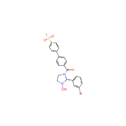 CS(=O)(=O)c1ccc(-c2ccc(C(=O)N3CCN(O)C3c3cccc(Br)c3)cc2)cc1